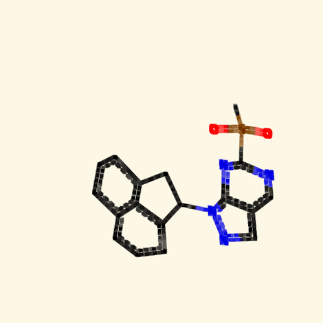 CS(=O)(=O)c1ncc2cnn(C3Cc4cccc5cccc3c45)c2n1